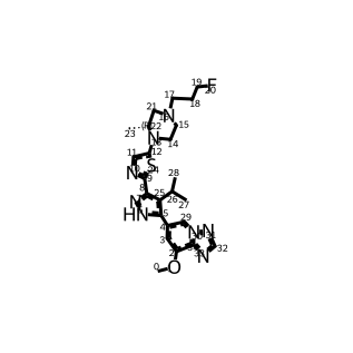 COc1cc(-c2[nH]nc(-c3ncc(N4CCN(CCCF)C[C@H]4C)s3)c2C(C)C)cn2ncnc12